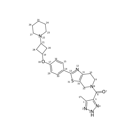 Cc1n[nH]nc1C(=O)N1CCc2nc(-c3ccc(OC4CC(N5CCCCC5)C4)cc3)sc2C1